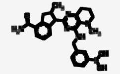 CC1Cc2c(C(N)=O)cccc2C1c1nc2c(c(NCc3cccc(B(O)O)c3)n1)N(C)CCC2